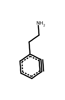 NCCc1c#cccc1